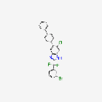 FC(F)(c1cccc(Br)c1)c1nc2cc(-c3ccc(-c4ccccc4)cc3)c(Cl)cc2[nH]1